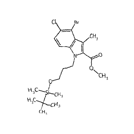 COC(=O)c1c(C)c2c(Br)c(Cl)ccc2n1CCCO[Si](C)(C)C(C)(C)C